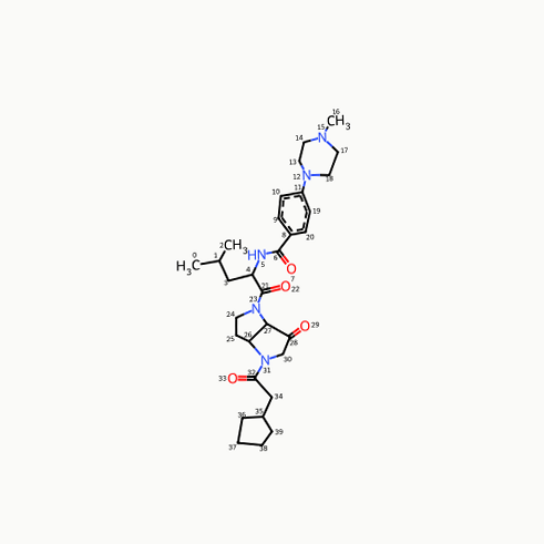 CC(C)CC(NC(=O)c1ccc(N2CCN(C)CC2)cc1)C(=O)N1CCC2C1C(=O)CN2C(=O)CC1CCCC1